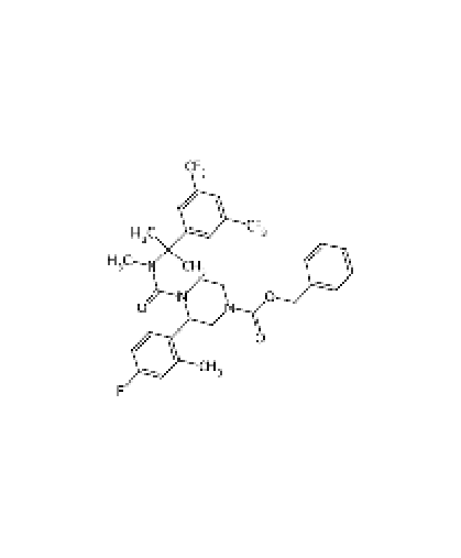 Cc1cc(F)ccc1C1CN(C(=O)OCc2ccccc2)CCN1C(=O)N(C)C(C)(C)c1cc(C(F)(F)F)cc(C(F)(F)F)c1